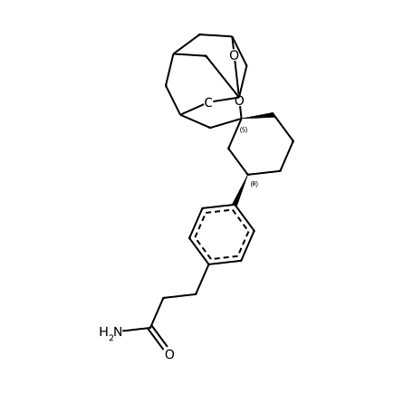 NC(=O)CCc1ccc([C@@H]2CCC[C@]3(CC4CC5CC(C4)CC(C5)OO3)C2)cc1